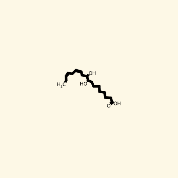 CC/C=C\C/C=C\CC(O)C(O)CCCCCCCC(=O)O